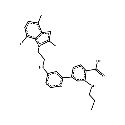 CCCNc1cc(-c2cc(NCCn3c(C)cc4c(C)ccc(F)c43)ncn2)ccc1C(=O)O